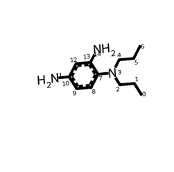 CCCN(CCC)c1ccc(N)cc1N